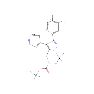 Cc1cc(-c2nn3c(c2-c2ccncc2)CN(C(=O)OC(C)(C)C)CC3(C)C)ccc1Cl